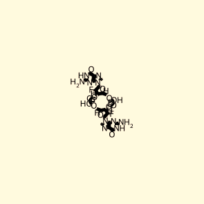 Nc1nc2c(ncn2[C@@H]2O[C@@H]3COP(=O)(O)O[C@@H]4[C@H](F)[C@H](n5cnc6c(=O)[nH]c(N)nc65)O[C@@H]4COP(=O)(O)O[C@@H]3[C@@H]2F)c(=O)[nH]1